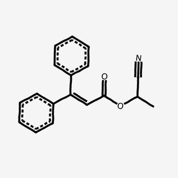 CC(C#N)OC(=O)C=C(c1ccccc1)c1ccccc1